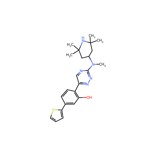 CN(c1ncc(-c2ccc(-c3cccs3)cc2O)nn1)C1CC(C)(C)NC(C)(C)C1